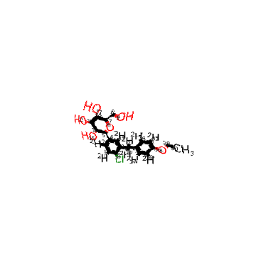 [2H]c1c([2H])c([C@@H]2O[C@H](CO)[C@@H](O)[C@H](O)[C@H]2O)c([2H])c(C([2H])([2H])c2c([2H])c([2H])c(OCC)c([2H])c2[2H])c1Cl